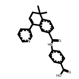 CC1(C)CC=C(c2cccnc2)c2cc(C(=O)Nc3ccc(C(=O)O)cc3)ccc21